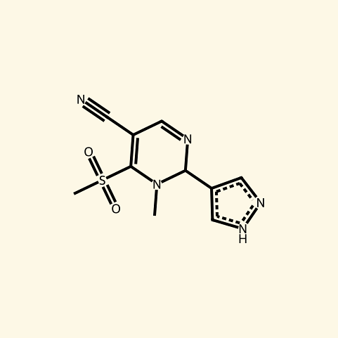 CN1C(S(C)(=O)=O)=C(C#N)C=NC1c1cn[nH]c1